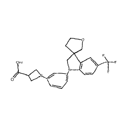 O=C(O)C1CN(c2cccc(N3CC4(CCOC4)c4cc(C(F)(F)F)ccc43)c2)C1